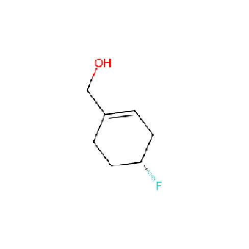 OCC1=CC[C@H](F)CC1